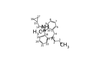 CCC[C@@H]1Cc2ccccc2[C@](C)(NCC2CC2)c2ccccc21